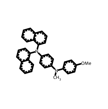 COc1ccc(N(C)c2ccc(N(c3cccc4ccccc34)c3cccc4ccccc34)cc2)cc1